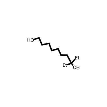 CCC(O)(CC)CCCCCCCO